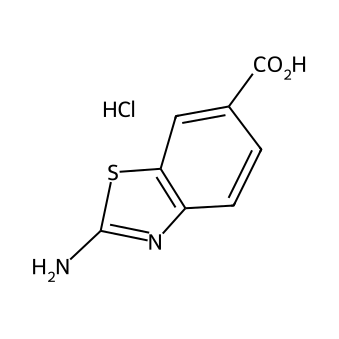 Cl.Nc1nc2ccc(C(=O)O)cc2s1